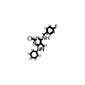 Fc1ccc(CNc2nc(Cl)nc3c2cnn3C2CCCCC2)cc1